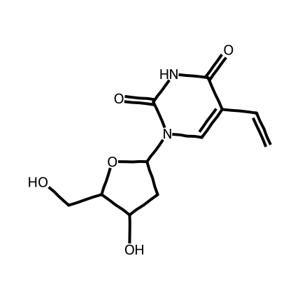 C=Cc1cn(C2CC(O)C(CO)O2)c(=O)[nH]c1=O